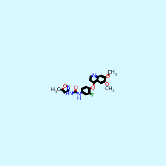 COc1cc2nccc(Oc3ccc(NC(=O)Nc4cc(C)on4)cc3F)c2cc1OC